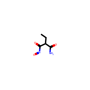 CCC(C(N)=O)C(=O)N=O